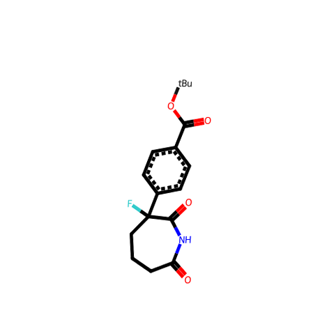 CC(C)(C)OC(=O)c1ccc(C2(F)CCCC(=O)NC2=O)cc1